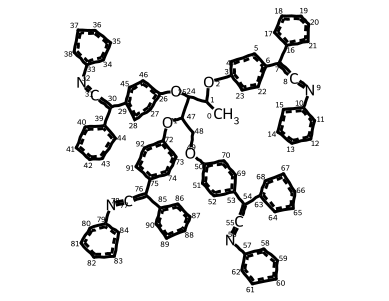 CC(Oc1ccc(C(=C=Nc2ccccc2)c2ccccc2)cc1)C(Oc1ccc(C(=C=Nc2ccccc2)c2ccccc2)cc1)C(COc1ccc(C(=C=Nc2ccccc2)c2ccccc2)cc1)Oc1ccc(C(=C=Nc2ccccc2)c2ccccc2)cc1